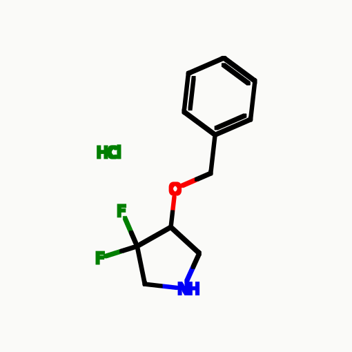 Cl.FC1(F)CNCC1OCc1ccccc1